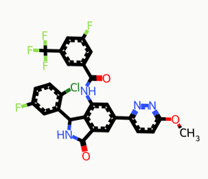 COc1ccc(-c2cc(NC(=O)c3cc(F)cc(C(F)(F)F)c3)c3c(c2)C(=O)NC3c2cc(F)ccc2Cl)nn1